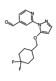 O=Cc1ccnc(-n2nccc2OCC2CCC(F)(F)CC2)c1